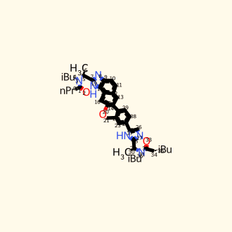 CCCC(=O)N([C@@H](C)CC)[C@@H](C)c1nc2ccc3cc4c(cc3c2[nH]1)OCc1cc(-c2cnc([C@H](C)N(C(=O)C[C@@H](C)CC)[C@@H](C)CC)[nH]2)ccc1-4